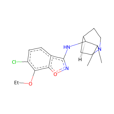 CCOc1c(Cl)ccc2c(N[C@H]3C4CCN(CC4)C3(C)C)noc12